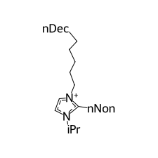 CCCCCCCCCCCCCCC[n+]1ccn(C(C)C)c1CCCCCCCCC